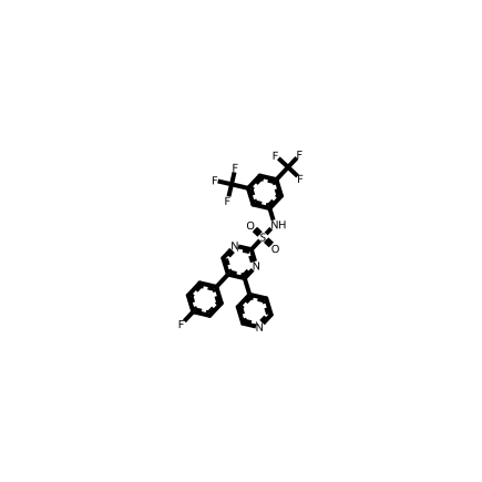 O=S(=O)(Nc1cc(C(F)(F)F)cc(C(F)(F)F)c1)c1ncc(-c2ccc(F)cc2)c(-c2ccncc2)n1